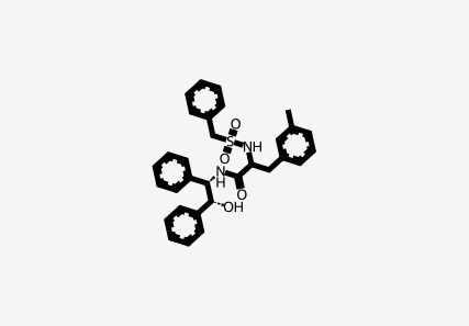 Cc1cccc(CC(NS(=O)(=O)Cc2ccccc2)C(=O)N[C@@H](c2ccccc2)[C@H](O)c2ccccc2)c1